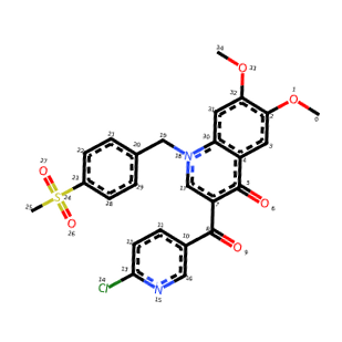 COc1cc2c(=O)c(C(=O)c3ccc(Cl)nc3)cn(Cc3ccc(S(C)(=O)=O)cc3)c2cc1OC